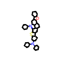 c1ccc(N(c2ccccc2)c2ccc3c(c2)sc2c3cc3ccc4c5oc6ccccc6c5cc5c4c3c2n5-c2ccccc2)cc1